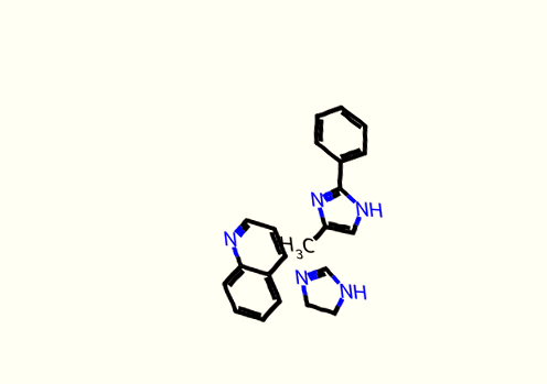 C1=NCCN1.Cc1c[nH]c(-c2ccccc2)n1.c1ccc2ncccc2c1